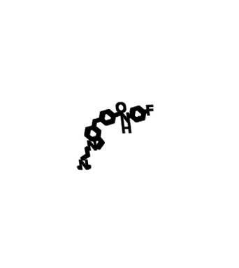 CN(C)CCCn1ccc2cc(Cc3ccc(C(=O)Nc4ccc(F)cc4)cc3)ccc21